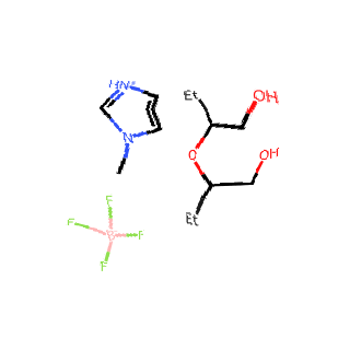 CCC(CO)OC(CC)CO.Cn1cc[nH+]c1.F[B-](F)(F)F